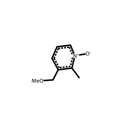 COCc1ccc[n+]([O-])c1C